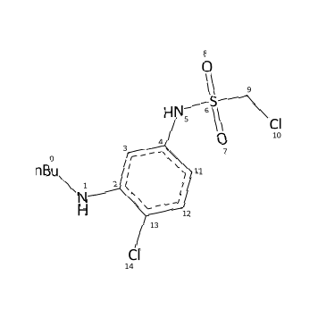 CCCCNc1cc(NS(=O)(=O)CCl)ccc1Cl